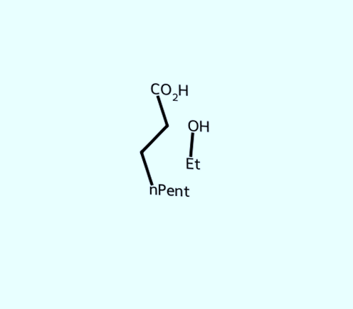 CCCCCCCC(=O)O.CCO